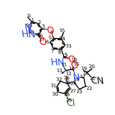 Cc1cc(Oc2ccc(C(=O)N[C@H](C)C(=O)N3[C@H](C(C)(C)C#N)CC[C@H]3C3(C)C=C(Cl)C=CC3)cc2C)c(=O)[nH]n1